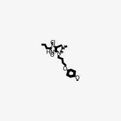 CCCC1N(Cl)C2=C(N(CCCCOc3ccc(OC)cc3)SN(C)C2)[NH+]1[O-]